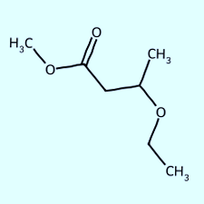 CCOC(C)CC(=O)OC